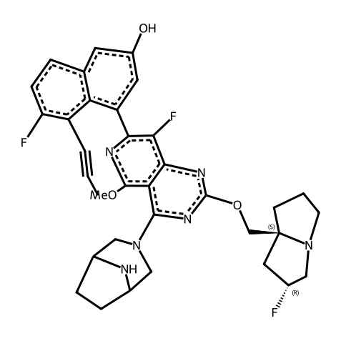 CC#Cc1c(F)ccc2cc(O)cc(-c3nc(OC)c4c(N5CC6CCC(C5)N6)nc(OC[C@@]56CCCN5C[C@H](F)C6)nc4c3F)c12